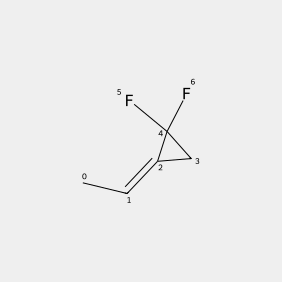 CC=C1CC1(F)F